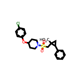 O=C(O)C1(CS(=O)(=O)N2CCC(Oc3ccc(Cl)cc3)CC2)CC1c1ccccc1